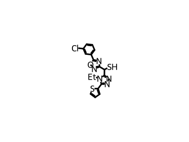 CCn1c(-c2cccs2)nnc1C(S)c1noc(-c2cccc(Cl)c2)n1